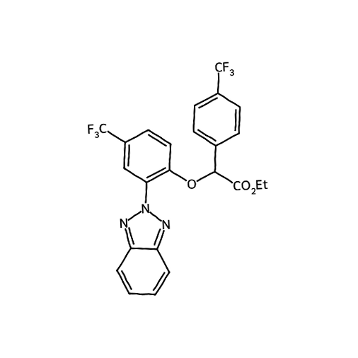 CCOC(=O)C(Oc1ccc(C(F)(F)F)cc1-n1nc2ccccc2n1)c1ccc(C(F)(F)F)cc1